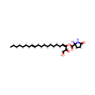 CCCCCCCC=CCCCCCCCCC=C(OC(=O)C1(I)CCC(=O)N1)C(=O)C=O